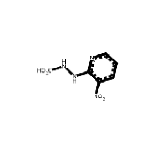 O=C(O)NNc1ncccc1[N+](=O)[O-]